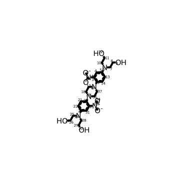 O=[N+]([O-])c1cc(N(CCO)CCO)ccc1N1CCN(c2ccc(N(CCO)CCO)cc2[N+](=O)[O-])CC1